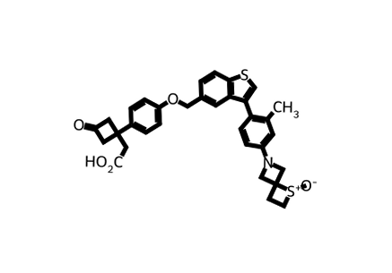 Cc1cc(N2CC3(CC[S+]3[O-])C2)ccc1-c1csc2ccc(COc3ccc(C4(CC(=O)O)CC(=O)C4)cc3)cc12